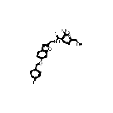 COCc1ccc(C(=O)NCc2cc3ccc(OCc4ccc(F)cc4)cc3o2)c(N)n1